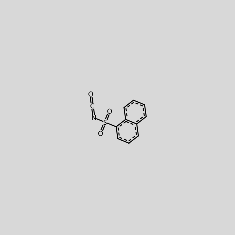 O=C=NS(=O)(=O)c1cccc2ccccc12